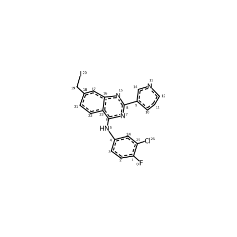 Fc1ccc(Nc2nc(-c3cccnc3)nc3cc(CI)ccc23)cc1Cl